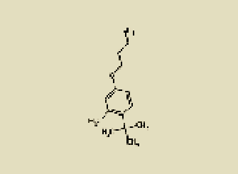 CCCCOc1ccc(C(C)(C)C)c(C)c1